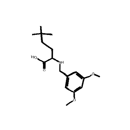 COc1cc(CNC(CCC(C)(C)C)C(=O)O)cc(OC)c1